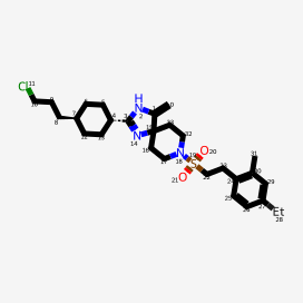 C=C1NC([C@H]2CC[C@H](CCCCl)CC2)=NC12CCN(S(=O)(=O)CCc1ccc(CC)cc1C)CC2